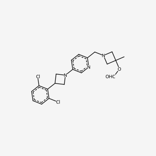 CC1(OC=O)CN(Cc2ccc(N3CC(c4c(Cl)cccc4Cl)C3)cn2)C1